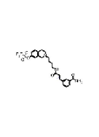 NC(=O)c1cccc(/C=C/C(=O)NCCCCN2CCc3ccc(OS(=O)(=O)C(F)(F)F)cc3C2)c1